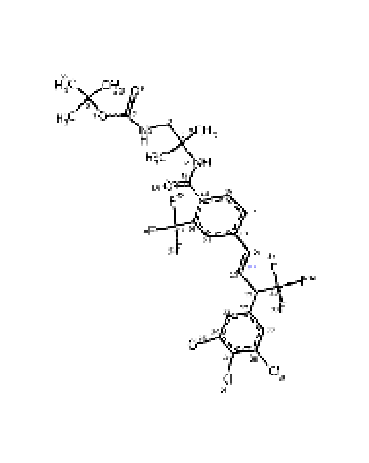 CC(C)(CNC(=O)OC(C)(C)C)NC(=O)c1ccc(/C=C/C(c2cc(Cl)c(Cl)c(Cl)c2)C(F)(F)F)cc1C(F)(F)F